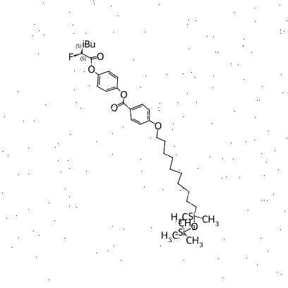 CC[C@H](C)[C@H](F)C(=O)Oc1ccc(OC(=O)c2ccc(OCCCCCCCCCC[Si](C)(C)O[Si](C)(C)C)cc2)cc1